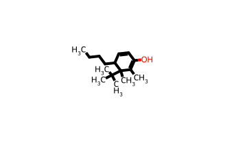 CCCCC1C=CC(O)=C(C)C1(C)C(C)(C)C